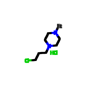 CCN1CCN(CCCCl)CC1.Cl